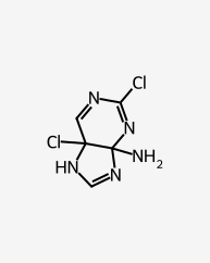 NC12N=CNC1(Cl)C=NC(Cl)=N2